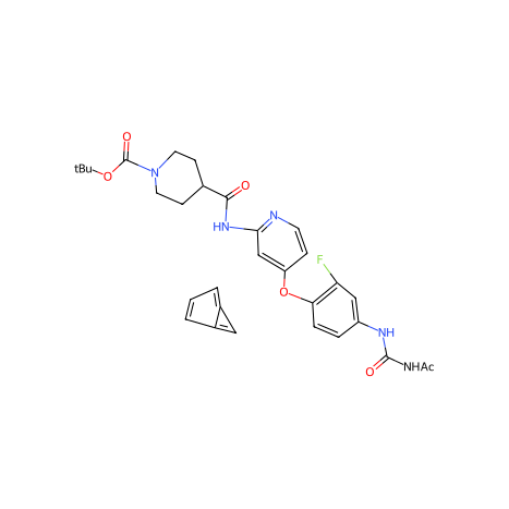 CC(=O)NC(=O)Nc1ccc(Oc2ccnc(NC(=O)C3CCN(C(=O)OC(C)(C)C)CC3)c2)c(F)c1.c1cc2cc-2c1